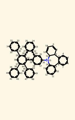 C1=CC2c3ccccc3-c3ccccc3N(c3ccc4c(c3)c3ccccc3c3c(-c5ccccc5)cc(-c5ccccc5)c(-c5ccccc5)c43)C2C=C1